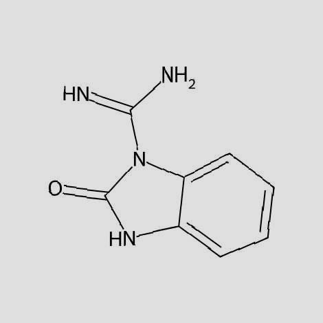 N=C(N)n1c(=O)[nH]c2ccccc21